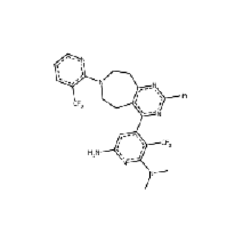 CC(C)c1nc2c(c(-c3cc(N)nc(N(C)C)c3C(F)(F)F)n1)CCN(c1ncccc1C(F)(F)F)CC2